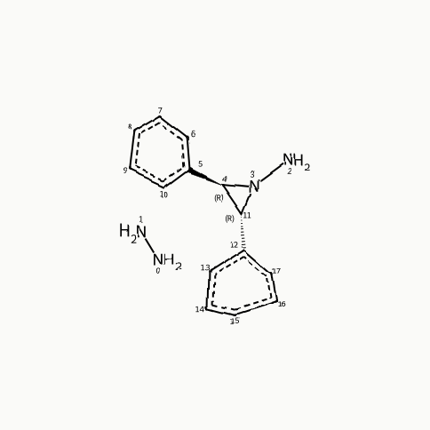 NN.NN1[C@H](c2ccccc2)[C@H]1c1ccccc1